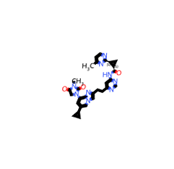 Cc1ccnc([C@H]2C[C@@H]2C(=O)Nc2cc(CCc3cn4cc(C5CC5)cc(N5CC(=O)N(C)C5=O)c4n3)ncn2)n1